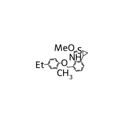 CCc1ccc(OCc2cccc(C3CC3)c2NC(=S)OC)c(C)c1